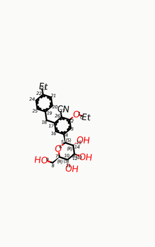 CCOc1cc([C@@H]2O[C@H](CO)[C@@H](O)[C@H](O)[C@H]2O)cc(Cc2ccc(CC)cc2)c1C#N